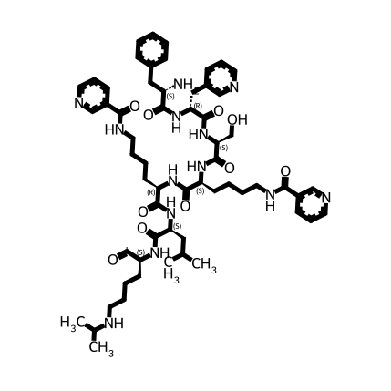 CC(C)C[C@H](NC(=O)[C@@H](CCCCNC(=O)c1cccnc1)NC(=O)[C@H](CCCCNC(=O)c1cccnc1)NC(=O)[C@H](CO)NC(=O)[C@@H](Cc1cccnc1)NC(=O)[C@@H](N)Cc1ccccc1)C(=O)N[C@H]([C]=O)CCCCNC(C)C